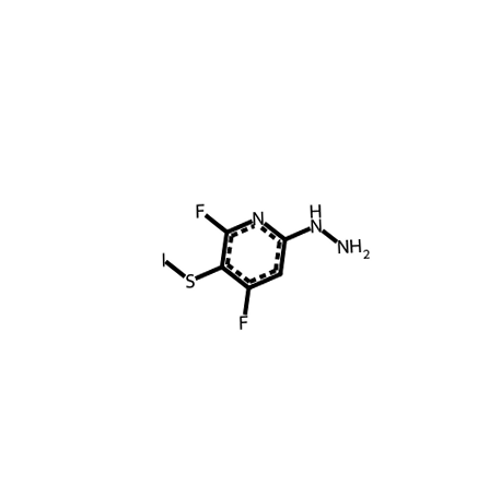 NNc1cc(F)c(SI)c(F)n1